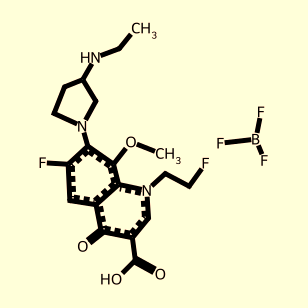 CCNC1CCN(c2c(F)cc3c(=O)c(C(=O)O)cn(CCF)c3c2OC)C1.FB(F)F